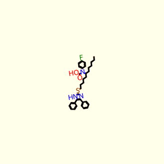 CCCCCCC(CCCCCSc1nc(-c2ccccc2)c(-c2ccccc2)[nH]1)N(C(=O)O)c1ccc(F)cc1